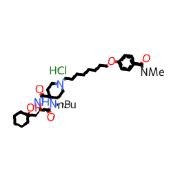 CCCCN1C(=O)[C@@H](CC2(O)CCCCC2)NC(=O)C12CCN(CCCCCCCCOc1ccc(C(=O)NC)cc1)CC2.Cl